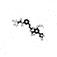 COc1cc(C2C=NNC2)cc2c(O)nc(CCc3cccc(NC(=O)C(C)C)c3)nc12